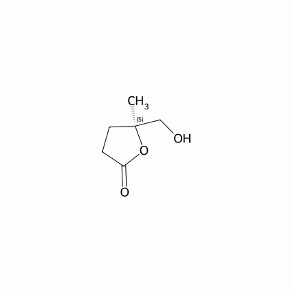 C[C@@]1(CO)CCC(=O)O1